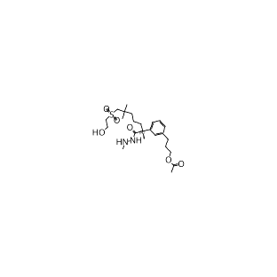 CNNC(=O)[C@](C)(CCCC(C)(C)CS(=O)(=O)CCO)c1cccc(CCCOC(C)=O)c1